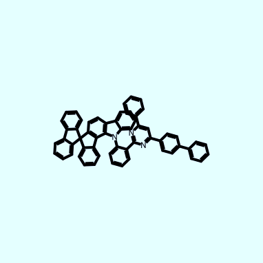 c1ccc(-c2ccc(-c3cc(-c4ccccc4)nc(-c4ccccc4-n4c5ccccc5c5ccc6c(c54)-c4ccccc4C64c5ccccc5-c5ccccc54)n3)cc2)cc1